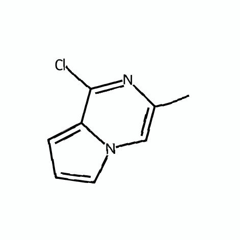 Cc1cn2cccc2c(Cl)n1